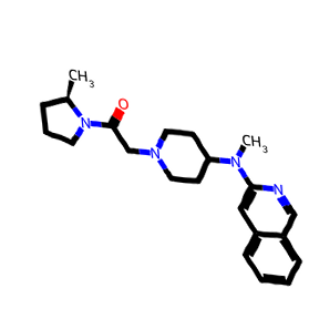 C[C@@H]1CCCN1C(=O)CN1CCC(N(C)c2cc3ccccc3cn2)CC1